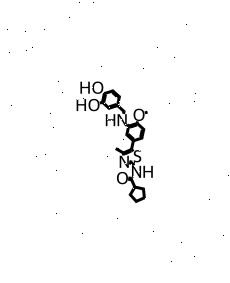 COc1ccc(-c2sc(NC(=O)C3CCCC3)nc2C)cc1NCc1ccc(O)c(O)c1